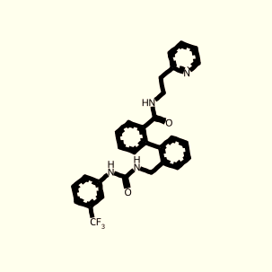 O=C(NCc1ccccc1-c1ccccc1C(=O)NCCc1ccccn1)Nc1cccc(C(F)(F)F)c1